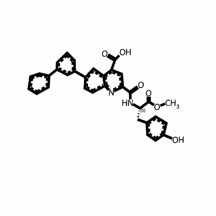 COC(=O)[C@H](Cc1ccc(O)cc1)NC(=O)c1cc(C(=O)O)c2cc(-c3cccc(-c4ccccc4)c3)ccc2n1